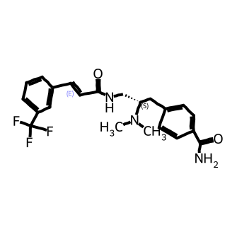 CN(C)[C@H](CNC(=O)/C=C/c1cccc(C(F)(F)F)c1)Cc1ccc(C(N)=O)cc1